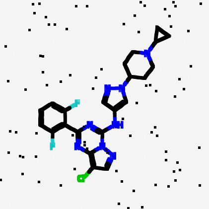 Fc1cccc(F)c1-c1nc(Nc2cnn(C3CCN(C4CC4)CC3)c2)n2ncc(Cl)c2n1